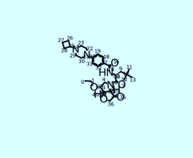 CCO[C@H]1CN(C(=O)[C@H](CC(C)(C)C)NC(=O)c2ccc(N3CCN(C4CCC4)CC3)cc2)[C@@H]2C(=O)CO[C@H]12